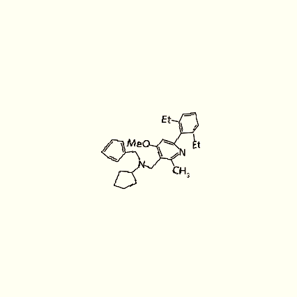 CCc1cccc(CC)c1-c1cc(OC)c(CN(Cc2ccccc2)C2CCCC2)c(C)n1